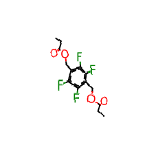 CCC(=O)OCc1c(F)c(F)c(COC(=O)CC)c(F)c1F